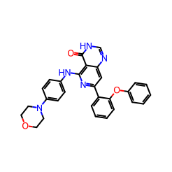 O=c1[nH]cnc2cc(-c3ccccc3Oc3ccccc3)nc(Nc3ccc(N4CCOCC4)cc3)c12